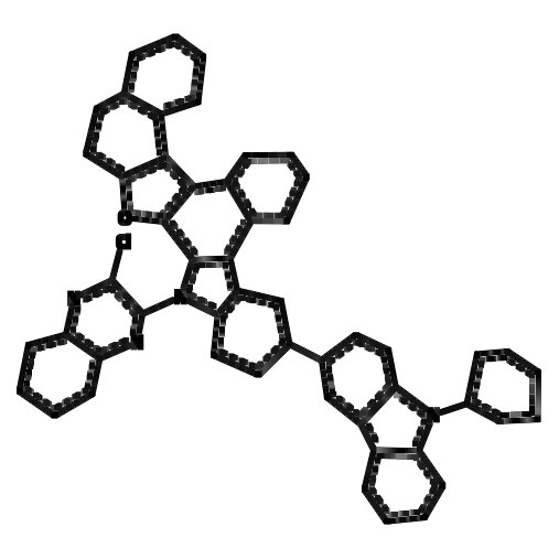 Clc1nc2ccccc2nc1-n1c2ccc(-c3ccc4c(c3)c3ccccc3n4-c3ccccc3)cc2c2c3ccccc3c3c(oc4ccc5ccccc5c43)c21